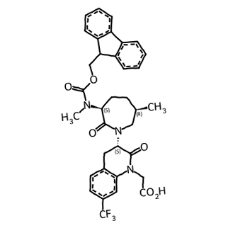 C[C@@H]1CC[C@H](N(C)C(=O)OCC2c3ccccc3-c3ccccc32)C(=O)N([C@H]2Cc3ccc(C(F)(F)F)cc3N(CC(=O)O)C2=O)C1